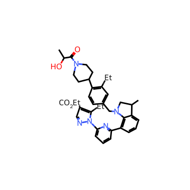 CCOC(=O)c1cnn(-c2cccc(-c3cccc4c3N(Cc3ccc(C5CCN(C(=O)C(C)O)CC5)c(CC)c3)CC4C)n2)c1CC